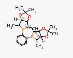 CC1C2OC(C)(C)O[C@@H]2C(C)P1c1ccccc1P1C(C)[C@H]2OC(C)(C)OC2[C@@H]1C